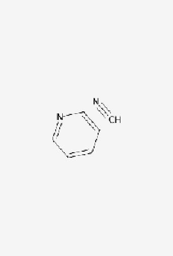 C#N.c1ccncc1